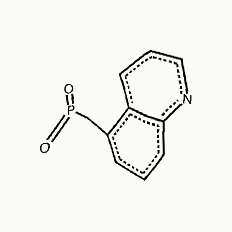 O=P(=O)c1cccc2ncccc12